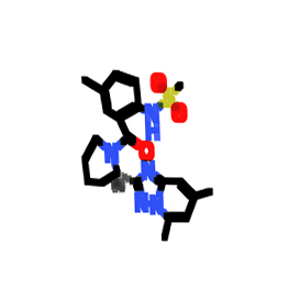 Cc1ccc(NS(C)(=O)=O)c(C(=O)N2CCCC[C@H]2c2nc3cc(C)cc(C)n3n2)c1